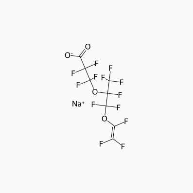 O=C([O-])C(F)(F)C(F)(F)OC(F)(C(F)(F)F)C(F)(F)OC(F)=C(F)F.[Na+]